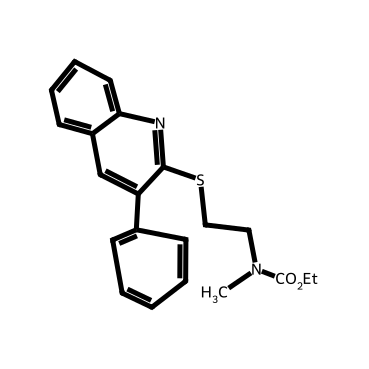 CCOC(=O)N(C)CCSc1nc2ccccc2cc1-c1ccccc1